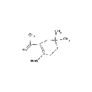 CNC1=C(C(C)=N)CC(C)(C)CC1